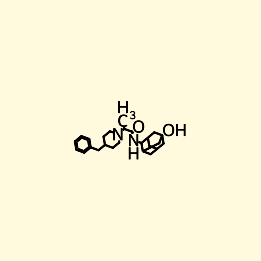 CC(C(=O)NC1C2CC3CC1CC(O)(C3)C2)N1CCC(Cc2ccccc2)CC1